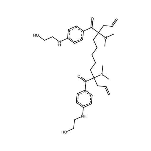 C=CCC(CCCCCC(CC=C)(C(=O)c1ccc(NCCO)cc1)N(C)C)(C(=O)c1ccc(NCCO)cc1)N(C)C